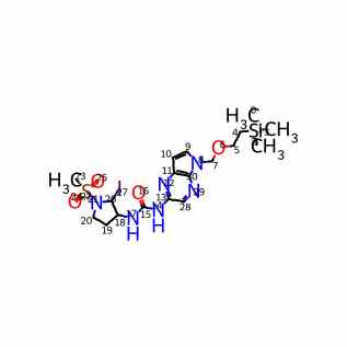 C[Si](C)(C)CCOCn1ccc2nc(NC(=O)NC3CCN(S(C)(=O)=O)C3I)cnc21